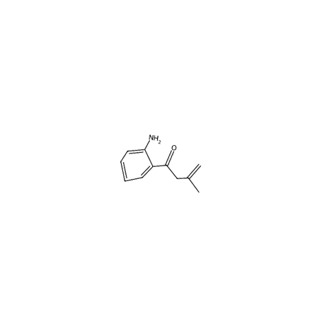 C=C(C)CC(=O)c1ccccc1N